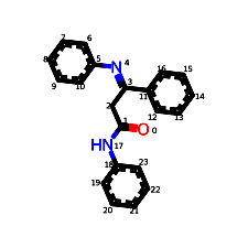 O=C(C/C(=N\c1ccccc1)c1ccccc1)Nc1ccccc1